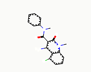 CN(C(=O)c1c(N)c2c(Cl)cccc2n(C)c1=O)c1ccccc1